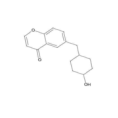 O=c1ccoc2ccc(CC3CCC(O)CC3)cc12